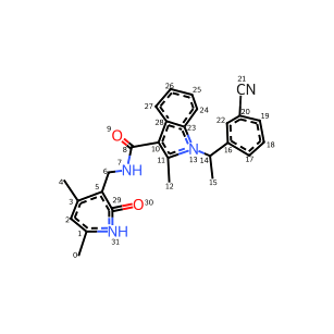 Cc1cc(C)c(CNC(=O)c2c(C)n(C(C)c3cccc(C#N)c3)c3ccccc23)c(=O)[nH]1